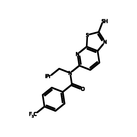 CC(C)CN(C(=O)c1ccc(C(F)(F)F)cc1)c1ccc2nc(S)sc2n1